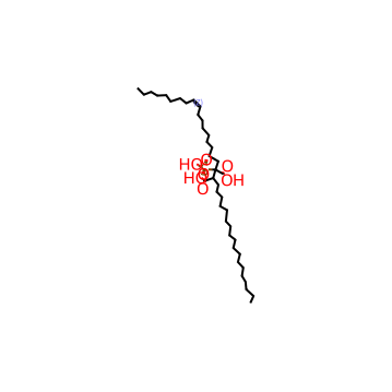 CCCCCCCC/C=C\CCCCCCCCC(C(=O)O)(C(CCCCCCCCCCCCCCCCCC)C(=O)O)S(=O)(=O)O